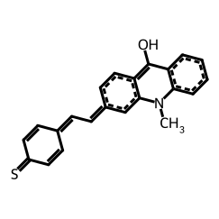 CN1c2ccccc2C(O)=c2cc/c(=C\C=C3C=CC(=S)C=C3)cc21